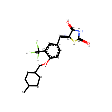 CC1CCC(COc2ccc(/C=C3\SC(=O)NC3=O)cc2C(F)(F)F)CC1